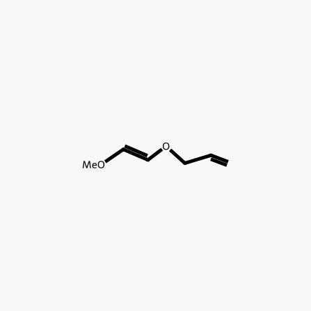 C=CCOC=COC